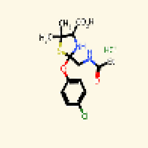 CCC(=O)NCC1(Oc2ccc(Cl)cc2)NC(C(=O)O)C(C)(C)S1.Cl